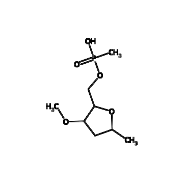 COC1CC(C)OC1COP(C)(=O)O